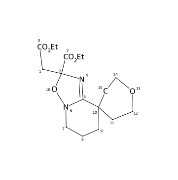 CCOC(=O)CC1(C(=O)OCC)N=C2N(CCCC23CCOCC3)O1